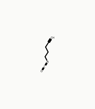 C#CCCCN=C=O